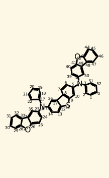 c1ccc(N(c2ccc3c(c2)sc2ccc(N(c4ccccc4)c4ccc5oc6ccccc6c5c4)cc23)c2ccc3oc4ccccc4c3c2)cc1